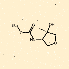 CC(C)(C)OC(=O)N[C@H]1COC[C@]1(C)O